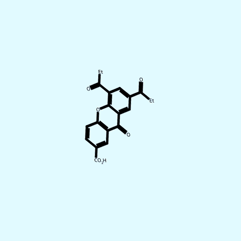 CCC(=O)c1cc(C(=O)CC)c2oc3ccc(C(=O)O)cc3c(=O)c2c1